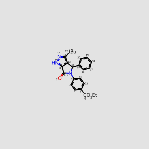 CCOC(=O)c1ccc(N2C(=O)c3[nH]nc(C(C)(C)C)c3C2c2ccccc2)cc1